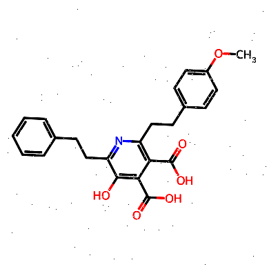 COc1ccc(CCc2nc(CCc3ccccc3)c(O)c(C(=O)O)c2C(=O)O)cc1